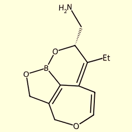 CCC1=C2C=COCC3=C2B(OC3)O[C@@H]1CN